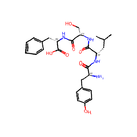 CC(C)C[C@H](NC(=O)[C@@H](N)Cc1ccc(O)cc1)C(=O)N[C@@H](CO)C(=O)N[C@@H](Cc1ccccc1)C(=O)O